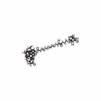 C=C1CC[C@@H]2[C@H](OC(=O)[C@H]2C)[C@@H]2C1C[C@H](OC(=O)CCOCCOCCOCCNC(=O)CCCC[C@@H]1SC[C@@H]3NC(=O)N[C@@H]31)[C@]21CC[C@]2(O)[C@@H]3[C@H]4OC(=O)[C@@H](C)[C@@H]4CCC(=C)[C@@H]3C[C@]12O